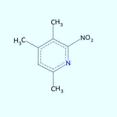 Cc1cc(C)c(C)c([N+](=O)[O-])n1